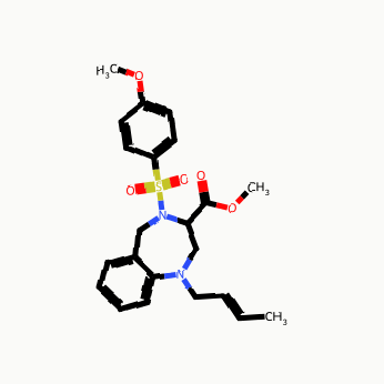 C/C=C/CN1CC(C(=O)OC)N(S(=O)(=O)c2ccc(OC)cc2)Cc2ccccc21